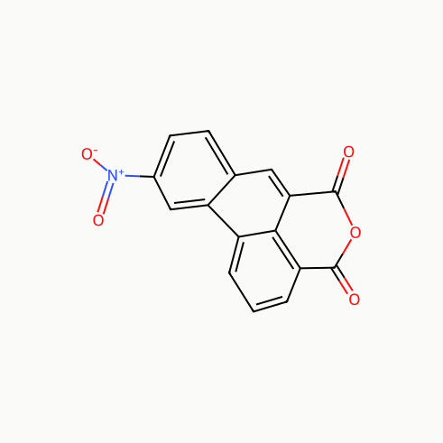 O=C1OC(=O)c2cc3ccc([N+](=O)[O-])cc3c3cccc1c23